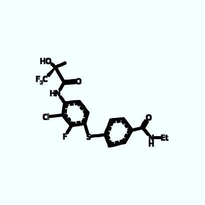 CCNC(=O)c1ccc(Sc2ccc(NC(=O)[C@@](C)(O)C(F)(F)F)c(Cl)c2F)cc1